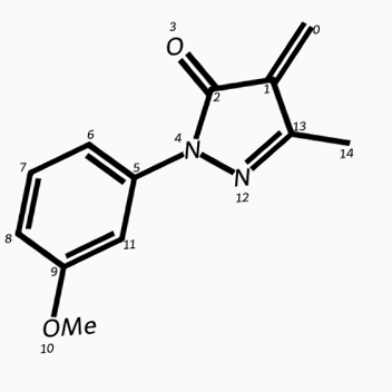 C=C1C(=O)N(c2cccc(OC)c2)N=C1C